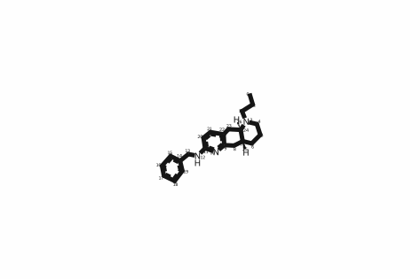 CCCN1CCC[C@@H]2Cc3nc(NCc4ccccc4)ccc3C[C@H]21